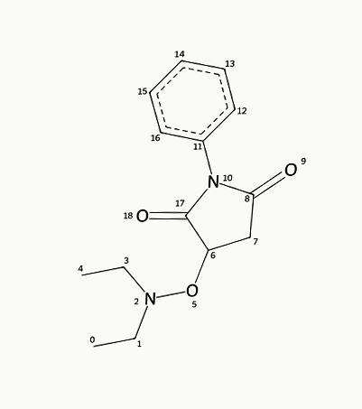 CCN(CC)OC1CC(=O)N(c2ccccc2)C1=O